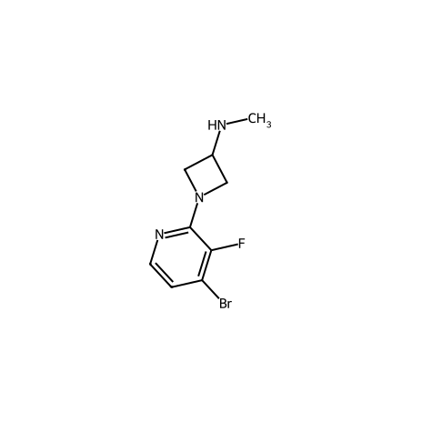 CNC1CN(c2nccc(Br)c2F)C1